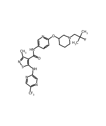 Cc1nsc(Nc2cnc(C(F)(F)F)cn2)c1C(=O)Nc1ccc(OC2CCCN(CC(C)(C)F)C2)nc1